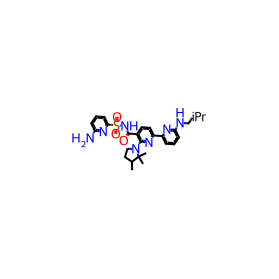 CC(C)CNc1cccc(-c2ccc(C(=O)NS(=O)(=O)c3cccc(N)n3)c(N3CCC(C)C3(C)C)n2)n1